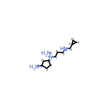 NC1CCC(N(N)CCCNCC2CC2)C1